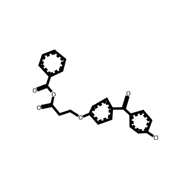 O=C(CCOc1ccc(C(=O)c2ccc(Cl)cc2)cc1)OC(=O)c1ccccc1